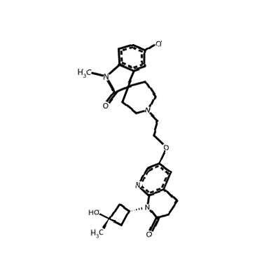 CN1C(=O)C2(CCN(CCOc3cnc4c(c3)CCC(=O)N4[C@H]3C[C@@](C)(O)C3)CC2)c2cc(Cl)ccc21